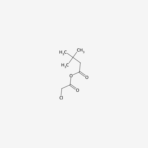 CC(C)(C)CC(=O)OC(=O)CCl